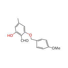 COc1ccc(COc2cc(C)cc(O)c2C=O)cc1